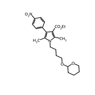 CCOC(=O)c1c(-c2ccc([N+](=O)[O-])cc2)c(C)n(CCCCOC2CCCCO2)c1C